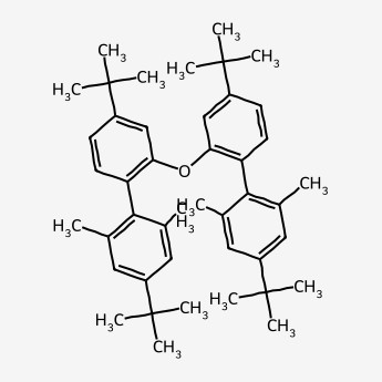 Cc1cc(C(C)(C)C)cc(C)c1-c1ccc(C(C)(C)C)cc1Oc1cc(C(C)(C)C)ccc1-c1c(C)cc(C(C)(C)C)cc1C